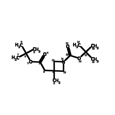 CC1(CC(=O)OC(C)(C)C)CN(C(=O)OC(C)(C)C)C1